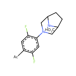 CC(=O)c1cc(F)c(N2CC3CCC(C2)N3C(=O)O)cc1F